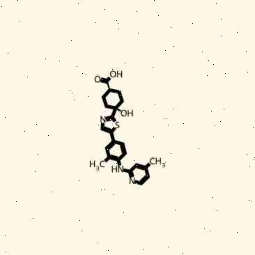 Cc1ccnc(Nc2ccc(-c3cnc([C@]4(O)CC[C@@H](C(=O)O)CC4)s3)cc2C)c1